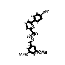 CCCc1ccc(-c2cncc(C(=O)N/N=C/c3cc(OC)cc(OC)c3)n2)cc1